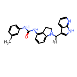 [2H]C(c1c[nH]c2ncccc12)N1CCc2c(NC(=O)Nc3cccc(C)c3)cccc21